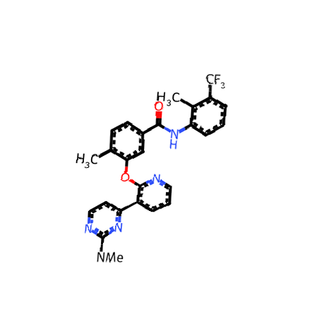 CNc1nccc(-c2cccnc2Oc2cc(C(=O)Nc3cccc(C(F)(F)F)c3C)ccc2C)n1